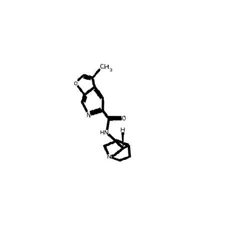 Cc1coc2cnc(C(=O)N[C@H]3CN4CCC3CC4)cc12